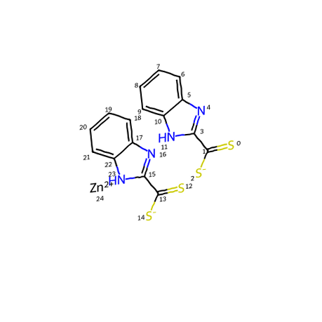 S=C([S-])c1nc2ccccc2[nH]1.S=C([S-])c1nc2ccccc2[nH]1.[Zn+2]